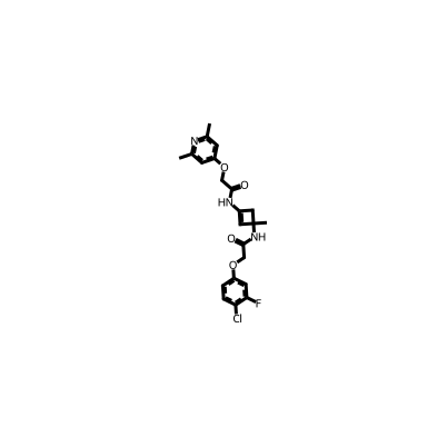 Cc1cc(OCC(=O)NC2=CC(C)(NC(=O)COc3ccc(Cl)c(F)c3)C2)cc(C)n1